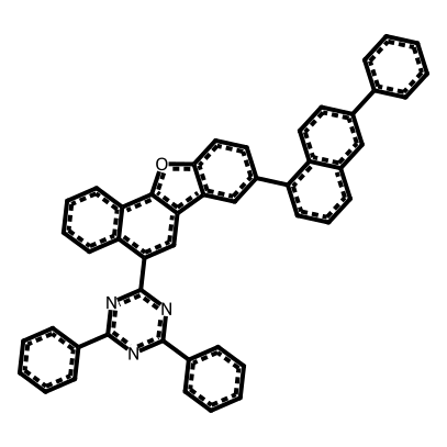 c1ccc(-c2ccc3c(-c4ccc5oc6c7ccccc7c(-c7nc(-c8ccccc8)nc(-c8ccccc8)n7)cc6c5c4)cccc3c2)cc1